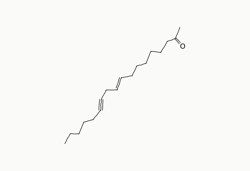 CCCCCC#CCC=CCCCCCCC(C)=O